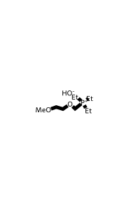 CC[P+](CC)(CC)COCCOC.[OH-]